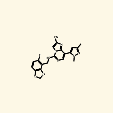 Cc1cc(-c2cnc(NCc3c(F)ccc4c3OCO4)n3cc(C#N)nc23)n(C)n1